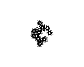 c1ccc(-c2cccc(-c3nc(-c4ccccc4)nc(-c4ccc(-n5c6ccccc6c6cc7c8ccccc8n(-c8ccccc8)c7cc65)c5c4oc4ccccc45)n3)c2)cc1